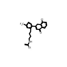 C=C(CC)NCCCCc1cc(C(F)(F)F)ccc1C1=CC(=O)c2cccc(Cl)c2C1